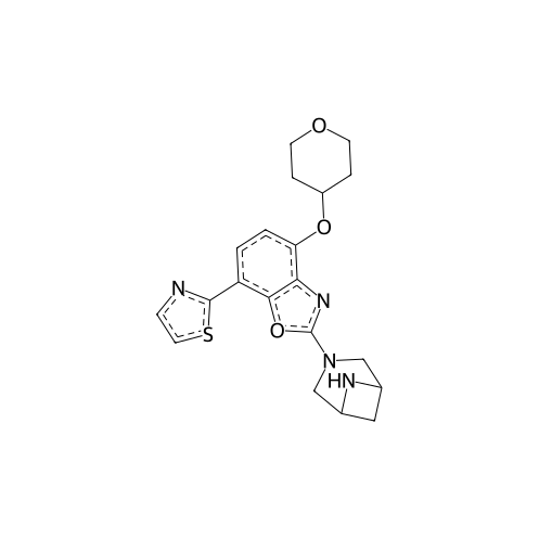 c1csc(-c2ccc(OC3CCOCC3)c3nc(N4CC5CC(C4)N5)oc23)n1